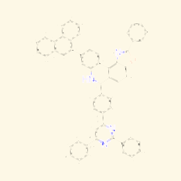 C1=C2C(=C3N=C(c4ccccc4)OC3C1)c1ccc(-c3cc4ccccc4c4ccccc34)cc1NC2c1ccc(-c2cc(-c3ccccc3)nc(-c3ccccc3)n2)cc1